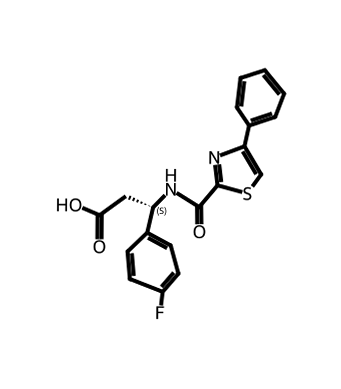 O=C(O)C[C@H](NC(=O)c1nc(-c2ccccc2)cs1)c1ccc(F)cc1